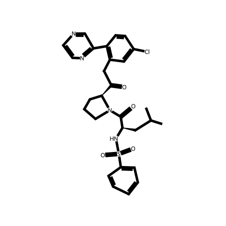 CC(C)C[C@@H](NS(=O)(=O)c1ccccc1)C(=O)N1CCC[C@H]1C(=O)[CH]c1cc(Cl)ccc1-c1cnccn1